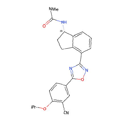 CNC(=O)N[C@H]1CCc2c(-c3noc(-c4ccc(OC(C)C)c(C#N)c4)n3)cccc21